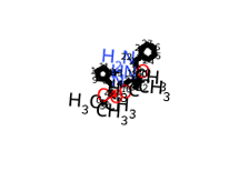 CC(C)(C)OC(=O)[C@@H]1C2CCCC2CN1C(=O)C(NC(=O)[C@@H](N)C1CCCCC1)C(C)(C)C